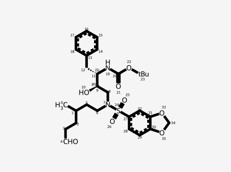 CC(CCC=O)CCN(C[C@@H](O)[C@H](Cc1ccccc1)NC(=O)OC(C)(C)C)S(=O)(=O)c1ccc2c(c1)OCO2